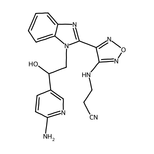 N#CCCNc1nonc1-c1nc2ccccc2n1CC(O)c1ccc(N)nc1